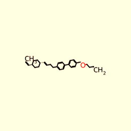 C=CCCOCc1ccc(-c2ccc(CC/C=C/[C@H]3CC[C@H](/C=C\C)CC3)cc2)cc1